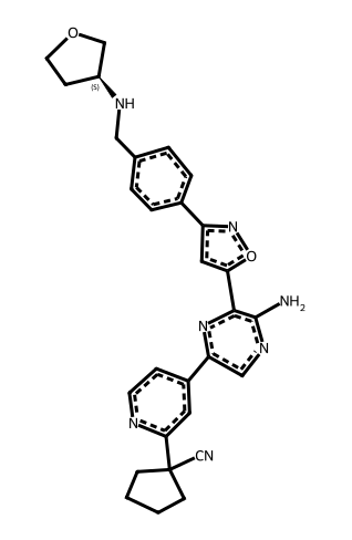 N#CC1(c2cc(-c3cnc(N)c(-c4cc(-c5ccc(CN[C@H]6CCOC6)cc5)no4)n3)ccn2)CCCC1